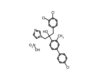 Cc1cc(-c2ccc(Cl)cc2)ccc1C(O)(Cc1ccc(Cl)c(Cl)c1)Cn1ccnc1.O=[N+]([O-])O